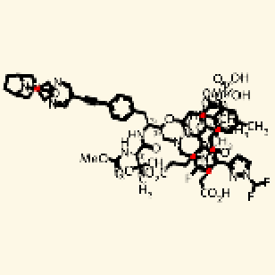 COC(=O)N[C@H](C(=O)N[C@@H](Cc1ccc(C#Cc2cnc(N3CC4CCC(C3)N4C3COC3)nc2)cc1)[C@H](CN(Cc1c(F)cc(-c2ccn(C(F)F)n2)cc1F)NC(=O)[C@@H](NC(=O)OC)C(C)(C)C(F)(F)F)OC(=O)CC(C)(C)c1c(CC(=O)N(CCCC(=O)O)CCC(=O)O)cc(C)cc1OP(=O)(O)O)C(C)(C)C(F)(F)F